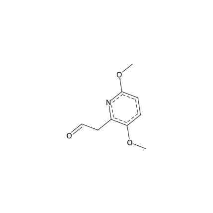 COc1ccc(OC)c(CC=O)n1